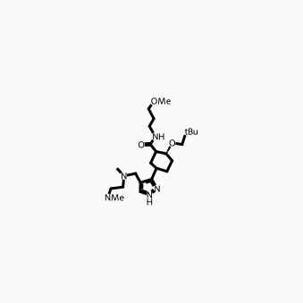 CNCCN(C)Cc1c[nH]nc1C1CC[C@H](OCC(C)(C)C)C(C(=O)NCCCOC)C1